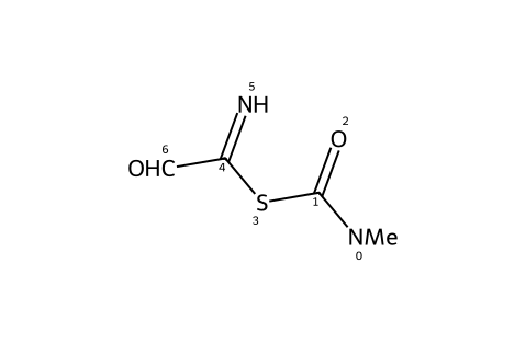 CNC(=O)SC(=N)C=O